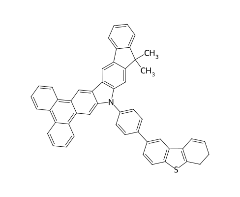 CC1(C)c2ccccc2-c2cc3c4cc5c6ccccc6c6ccccc6c5cc4n(-c4ccc(-c5ccc6sc7c(c6c5)C=CCC7)cc4)c3cc21